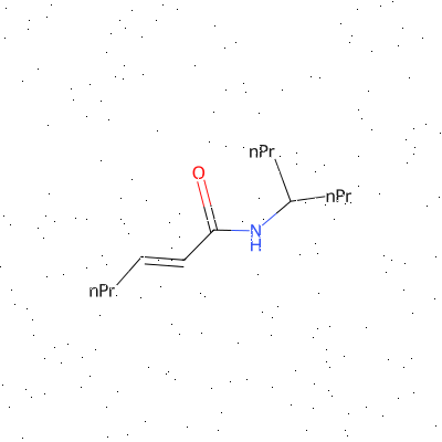 CCCC=CC(=O)NC(CCC)CCC